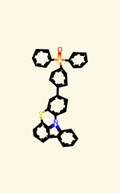 O=P(c1ccccc1)(c1ccccc1)c1ccc(-c2ccc3c(c2)Sc2cccc4c5ccccc5n-3c24)cc1